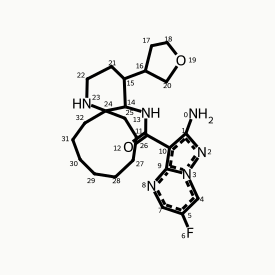 Nc1nn2cc(F)cnc2c1C(=O)NC1C(C2CCOC2)CCNC12CCCCCCCC2